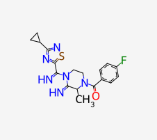 CC1C(=N)N(C(=N)c2nc(C3CC3)ns2)CCN1C(=O)c1ccc(F)cc1